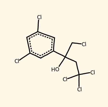 OC(CCl)(CC(Cl)(Cl)Cl)c1cc(Cl)cc(Cl)c1